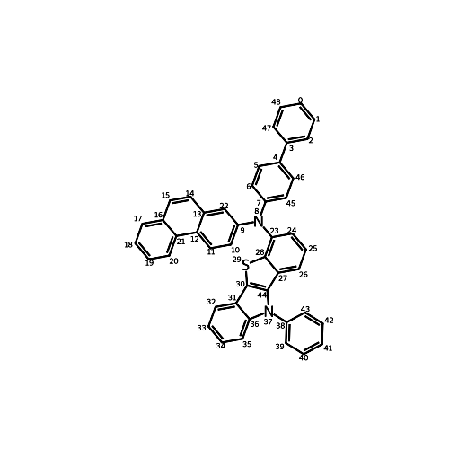 c1ccc(-c2ccc(N(c3ccc4c(ccc5ccccc54)c3)c3cccc4c3sc3c5ccccc5n(-c5ccccc5)c43)cc2)cc1